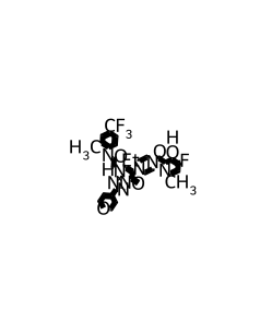 CCc1c(N2CCN(C(=O)c3nc(C)cc(F)c3O)CC2)c(=O)n2nc(C3=CCOCC3)nc2n1CC(=O)Nc1ccc(C(F)(F)F)cc1C